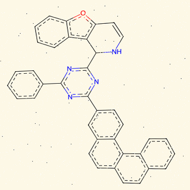 C1=Cc2oc3ccccc3c2C(c2nc(-c3ccccc3)nc(-c3ccc4c(ccc5ccc6ccccc6c54)c3)n2)N1